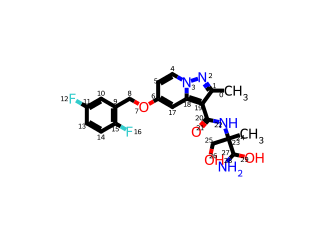 Cc1nn2ccc(OCc3cc(F)ccc3F)cc2c1C(=O)NC(C)(CO)C(N)O